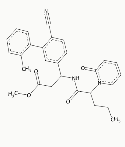 CCCC(C(=O)NC(CC(=O)OC)c1ccc(C#N)c(-c2ccccc2C)c1)n1ccccc1=O